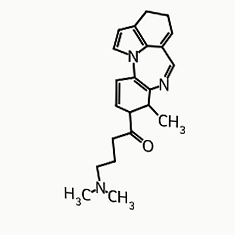 CC1C2=C(C=CC1C(=O)CCCN(C)C)n1ccc3c1C(=CCC3)C=N2